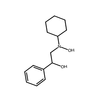 OC(CN(O)C1CCCCC1)c1ccccc1